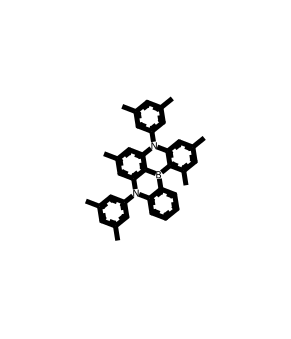 Cc1cc(C)cc(N2c3ccccc3B3c4c(C)cc(C)cc4N(c4cc(C)cc(C)c4)c4cc(C)cc2c43)c1